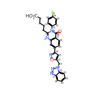 O=C(O)CCCCc1nc2cc(-c3cc(Cn4nnc5ccccc54)on3)ccc2c(=O)n1-c1ccc(F)cc1